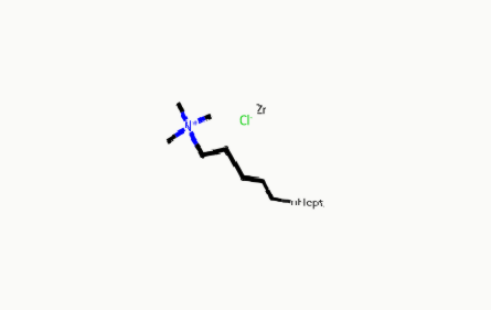 CCCCCCCCCCCC[N+](C)(C)C.[Cl-].[Zr]